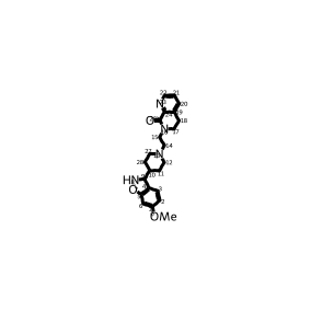 COc1ccc2c(c1)ONC2C1CCN(CCN2CCc3cccnc3C2=O)CC1